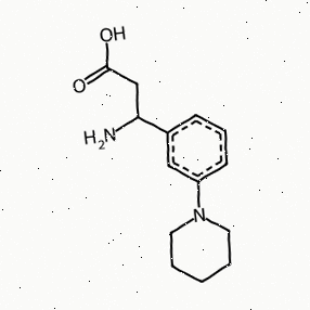 NC(CC(=O)O)c1cccc(N2CCCCC2)c1